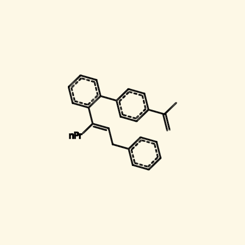 C=C(C)c1ccc(-c2ccccc2C(=CCc2ccccc2)CCC)cc1